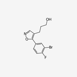 OCCCc1cnoc1-c1ccc(F)c(Br)c1